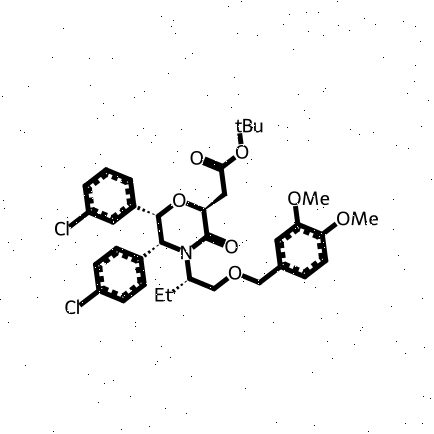 CC[C@@H](COCc1ccc(OC)c(OC)c1)N1C(=O)[C@H](CC(=O)OC(C)(C)C)O[C@@H](c2cccc(Cl)c2)[C@H]1c1ccc(Cl)cc1